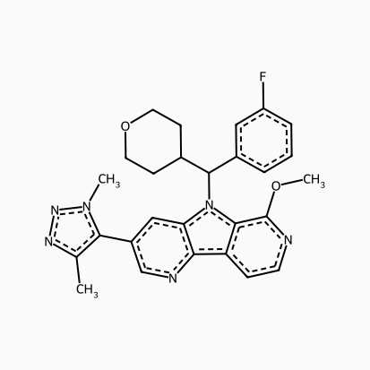 COc1nccc2c3ncc(-c4c(C)nnn4C)cc3n(C(c3cccc(F)c3)C3CCOCC3)c12